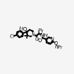 CCCOc1ccc(C(=O)N[C@@H](C(=O)N2CC[C@](O)(c3ccc(Cl)cc3)C(C)(C)C2)C(C)C)cn1